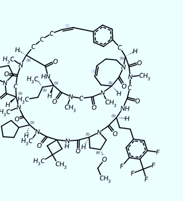 CCO[C@@H]1C[C@H]2C(=O)NC3(CC(C)(C)C3)C(=O)N(C)[C@@H](C3CCCC3)C(=O)N(C)[C@H](C(=O)N3CCCC3)CC(=O)N(C)[C@H]3CCC/C=C\c4ccc(cc4)C[C@@H](C(=O)N(C)CC(=O)N[C@@H](CCc4cc(F)c(C(F)(F)F)c(F)c4)C(=O)N2C1)N1CC/C=C\C[C@@H](C1=O)N(C)C(=O)CN(C)C(=O)[C@H]([C@@H](C)CC)NC3=O